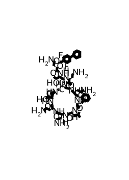 CC(C)C[C@@H]1NC(=O)[C@@H](Cc2ccccc2)NC(=O)[C@H](CCN)NC[C@@H](NC(=O)[C@H](CCN)NC(=O)[C@@H](NC(=O)[C@H](CCN)OC(=O)c2c(F)cc(-c3ccccc3)cc2F)C(C)O)CCNC(=O)[C@H]([C@H](C)O)NC(=O)[C@H](CCN)NC(=O)[C@H](CCN)NC1=O